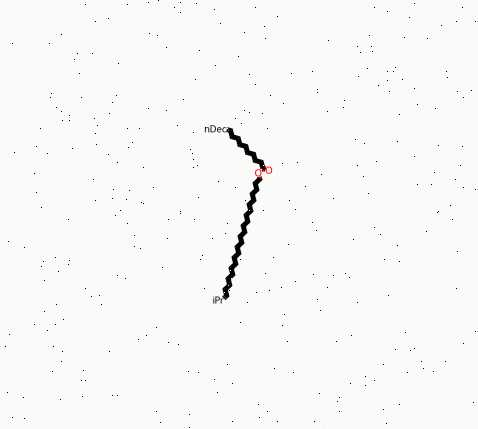 CCCCCCCCCCCCCCCCCCCC(=O)OCCCCCCCCCCCCCCCCCCCCCCCC(C)C